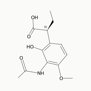 CC[C@H](C(=O)O)c1ccc(OC)c(NC(C)=O)c1O